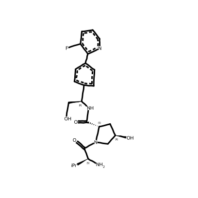 CC(C)[C@H](N)C(=O)N1C[C@H](O)C[C@H]1C(=O)N[C@@H](CO)c1ccc(-c2ncccc2F)cc1